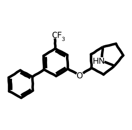 FC(F)(F)c1cc(OC2CC3CCC(C2)N3)cc(-c2ccccc2)c1